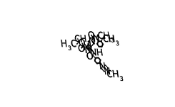 CCc1ccccc1N(CC)C(=O)N1Cc2c(NC(=O)c3ccc(N4CCN(C)CC4)cc3)nn(C(=O)OC(C)CC)c2C1